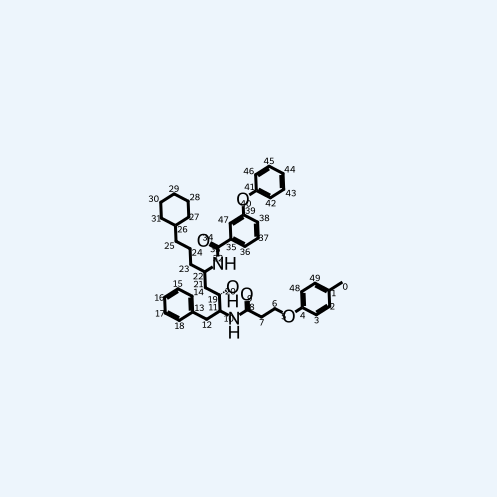 Cc1ccc(OCCC(=O)NC(Cc2ccccc2)[C@@H](O)CC(CCCC2CCCCC2)NC(=O)c2cccc(Oc3ccccc3)c2)cc1